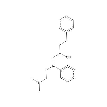 CN(C)CCN(CC(O)CCc1ccccc1)c1ccccc1